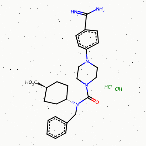 Cl.Cl.N=C(N)c1ccc(N2CCN(C(=O)N(Cc3ccccc3)[C@H]3CC[C@H](C(=O)O)CC3)CC2)cc1